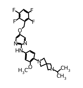 COc1cc(Nc2ncc(OCc3c(F)c(F)cc(F)c3F)cn2)ccc1N1CC2(C1)CN(C(C)C)C2